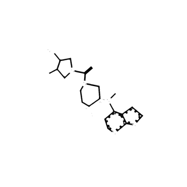 C=C(N1CC(C)C(C#N)C1)N1CC[C@@H](C)[C@@H](N(C)c2ccnc3[nH]ccc23)C1